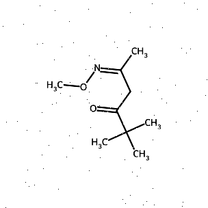 CO/N=C(/C)CC(=O)C(C)(C)C